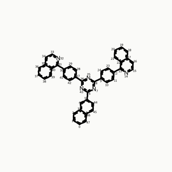 c1ccc2cc(-c3nc(-c4ccc(-c5nccc6ccccc56)cc4)nc(-c4ccc(-c5nccc6ccccc56)cc4)n3)ccc2c1